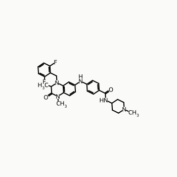 CC1C(=O)N(C)c2ccc(Nc3ccc(C(=O)NC4CCN(C)CC4)cc3)cc2N1Cc1c(F)cccc1F